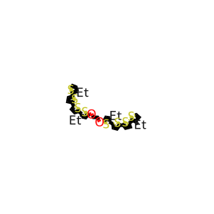 CCc1ccsc1-c1ccc(-c2ccc(-c3sc(OCCOc4cc(CC)c(-c5ccc(-c6ccc(-c7sccc7CC)s6)s5)s4)cc3CC)s2)s1